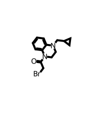 O=C(CBr)N1CCN(CC2CC2)c2ccccc21